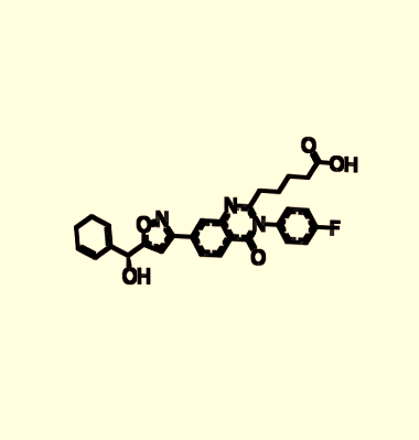 O=C(O)CCCCc1nc2cc(-c3cc([C@@H](O)C4=CCCC=C4)on3)ccc2c(=O)n1-c1ccc(F)cc1